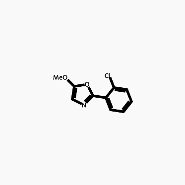 COc1cnc(-c2ccccc2Cl)o1